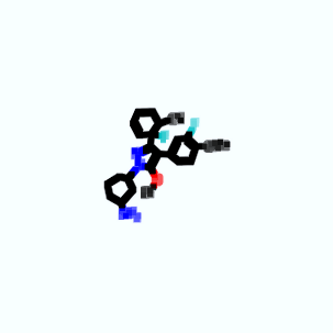 CCOc1c(-c2ccc(OC)c(F)c2)c(C2(F)C=CC=CC2C#N)nn1C1CCCC(N)C1